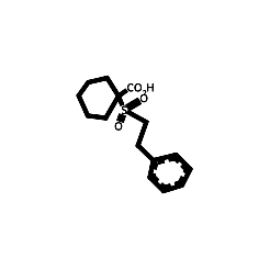 O=C(O)C1(S(=O)(=O)CCc2ccccc2)CCCCC1